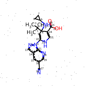 CC(C)(C)C1(NC2CC2)C=C(n2ncc3cc(C#N)cnc32)NC=C1C(=O)O